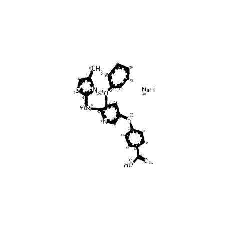 Cc1csc(Nc2ncc(Sc3ccc(C(=O)O)cc3)cc2Oc2ccccc2)n1.[NaH]